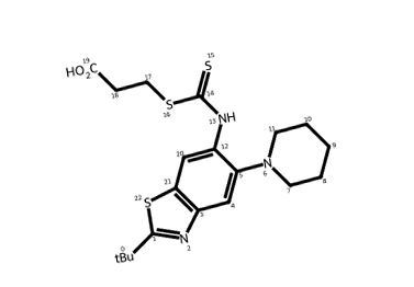 CC(C)(C)c1nc2cc(N3CCCCC3)c(NC(=S)SCCC(=O)O)cc2s1